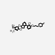 CCOc1cc(O[C@H]2CCc3c(-c4cccc(OCCCN5CCC(F)CC5)c4Cl)cccc32)c(Cl)cc1C